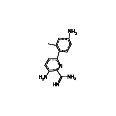 Cc1cc(N)ccc1-c1ccc(N)c(C(=N)N)n1